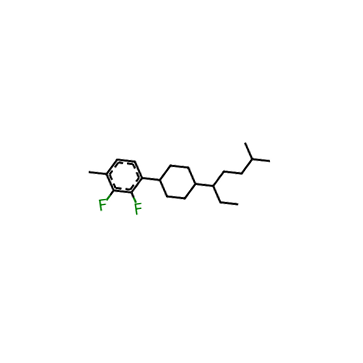 CCC(CCC(C)C)C1CCC(c2ccc(C)c(F)c2F)CC1